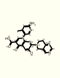 Cc1cc(N)ncc1-n1cc(C(=O)O)c(=O)c2cc(Cl)c(N3CCc4ncncc4C3)nc21